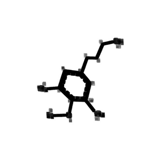 CCOc1c(C(C)(C)C)cc(CCCO)cc1C(C)(C)C